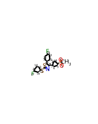 CS(=O)(=O)c1ccc(-c2nc(Sc3cccc(F)c3)sc2-c2ccc(F)cc2)cc1